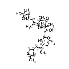 CC[C@H](NC(=O)CC(O)C(C)(C)C(=O)C(C)[C@@H](O)C(C)CCCC(C)(C)O)/C(C)=C/c1csc(C)n1